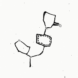 CN(Cc1ccc(N2CCCC2=O)cc1)C1CCOC1